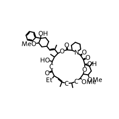 CCC1/C=C(\C)CC(C)CC(OC)C2OC(O)(C(=O)C(=O)N3CCCCC3C(=O)OC(C(C)=CC3CCC(O)(c4ccccc4)C(OC)C3)C(C)C(O)CC1=O)C(C)CC2OC